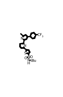 Cc1cc(-c2ccc(C(F)(F)F)cc2)cc(-c2cccc(-c3ccc(S(=O)(=O)NC(C)(C)C)s3)n2)n1